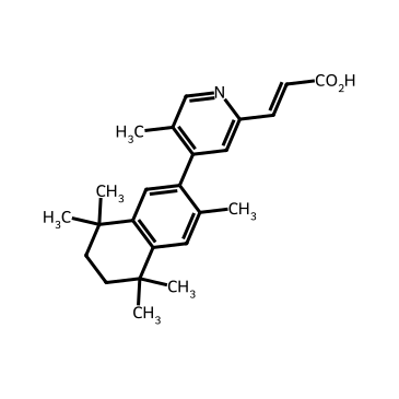 Cc1cnc(/C=C/C(=O)O)cc1-c1cc2c(cc1C)C(C)(C)CCC2(C)C